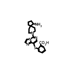 N[C@@H]1CCCC12CCN(c1ncc(Sc3ccccc3C(=O)O)c3nccn13)CC2